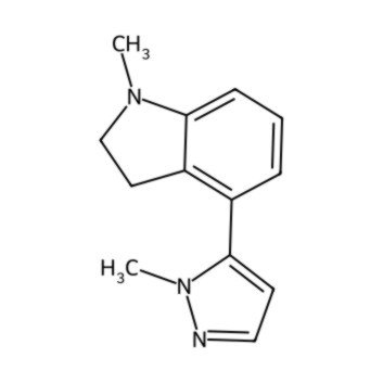 CN1CCc2c(-c3ccnn3C)cccc21